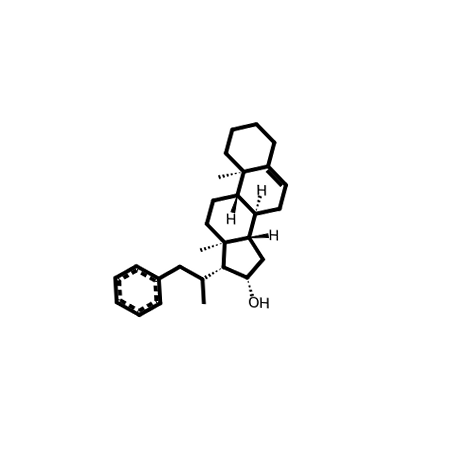 CC(Cc1ccccc1)[C@H]1[C@@H](O)C[C@H]2[C@@H]3CC=C4CCCC[C@]4(C)[C@H]3CC[C@@]21C